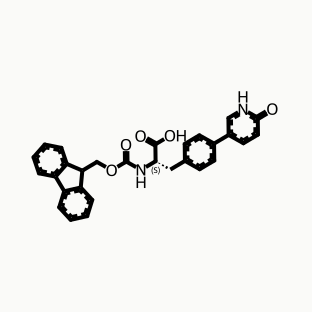 O=C(N[C@@H](Cc1ccc(-c2ccc(=O)[nH]c2)cc1)C(=O)O)OCC1c2ccccc2-c2ccccc21